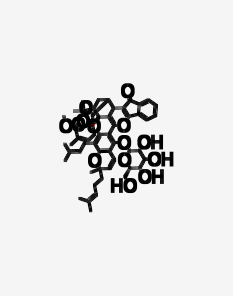 COC(=O)/C(C)=C\CC12OC(C)(C)C3CC(C1=O)C1C4=C(OC5=C1C32Oc1c(CC=C(C)C)c2c(c(O[C@@H]3O[C@H](CO)[C@@H](O)[C@H](O)[C@H]3O)c15)C=CC(C)(CCC=C(C)C)O2)c1ccccc1C4=O